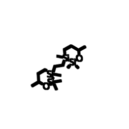 CC1CC[Si](C)(CC[Si]2(C)CCC(C)O[Si]2(C)C)[Si](C)(C)O1